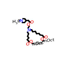 CCCCCCCCCCCOC(=O)CCCCCN(CCCCCCCC(=O)OC(CCCCCCCC)CCCCCCCC)CCOC(=O)CC1CCN(C)CC1